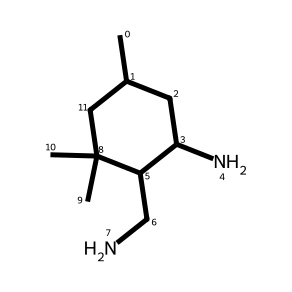 CC1CC(N)C(CN)C(C)(C)C1